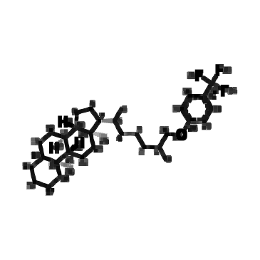 CC(CCCC(C)[C@H]1CC[C@H]2[C@@H]3CCC4CCCC[C@]4(C)[C@H]3CC[C@]12C)COc1ccc(C(F)(F)F)cc1